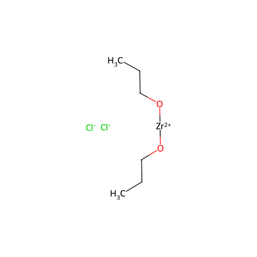 CCC[O][Zr+2][O]CCC.[Cl-].[Cl-]